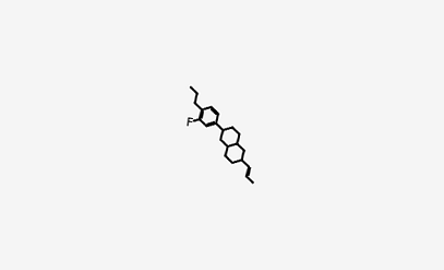 CC=CC1CCC2CC(c3ccc(CCC)c(F)c3)CCC2C1